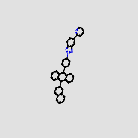 c1ccc(-c2ccc3nn(-c4ccc(-c5c6ccccc6c(-c6ccc7ccccc7c6)c6ccccc56)cc4)nc3c2)nc1